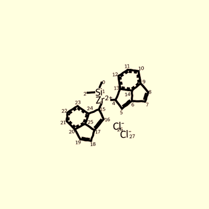 C[Si](C)=[Zr+2]([CH]1C=C2C=Cc3cccc1c32)[CH]1C=C2C=Cc3cccc1c32.[Cl-].[Cl-]